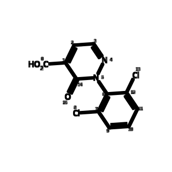 O=C(O)c1ccnn(-c2c(Cl)cccc2Cl)c1=O